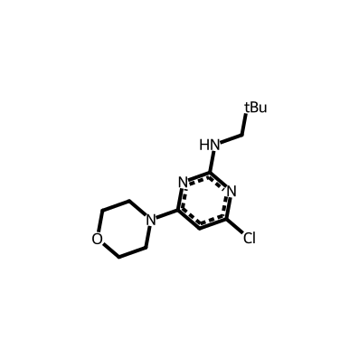 CC(C)(C)CNc1nc(Cl)cc(N2CCOCC2)n1